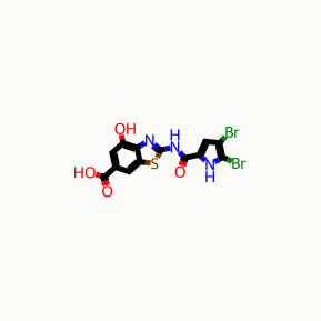 O=C(O)c1cc(O)c2nc(NC(=O)c3cc(Br)c(Br)[nH]3)sc2c1